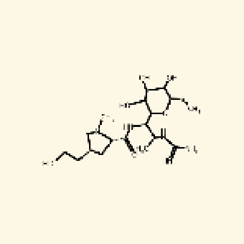 CCC[C@@H]1C[C@@H](C(=O)N[C@@H](C2OC(SC)C(O)C(O)C2O)[C@H](C)NC(=N)N)N(C)C1